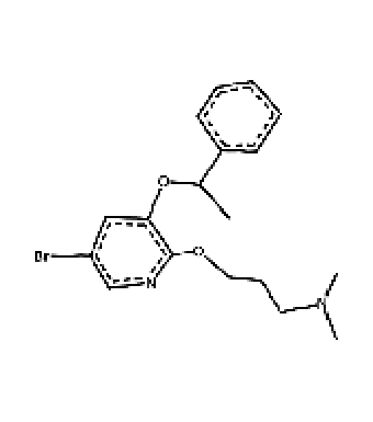 CC(Oc1cc(Br)cnc1OCCCN(C)C)c1ccccc1